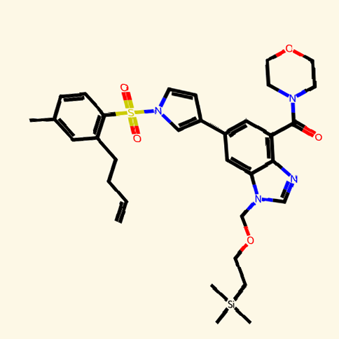 C=CCCc1cc(C)ccc1S(=O)(=O)n1ccc(-c2cc(C(=O)N3CCOCC3)c3ncn(COCC[Si](C)(C)C)c3c2)c1